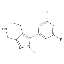 Cn1nc2c(c1-c1cc(F)cc(F)c1)CCNC2